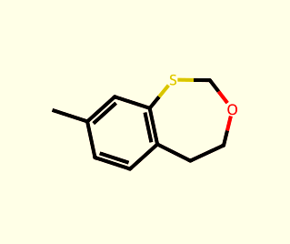 Cc1ccc2c(c1)SCOCC2